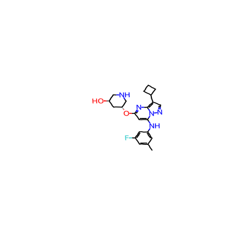 Cc1cc(F)cc(Nc2cc(O[C@H]3CNC[C@H](O)C3)nc3c(C4CCC4)cnn23)c1